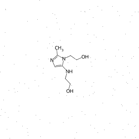 Cc1ncc(NCCO)n1CCO